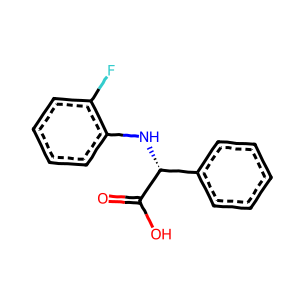 O=C(O)[C@H](Nc1ccccc1F)c1ccccc1